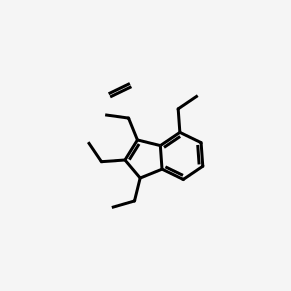 C=C.CCC1=C(CC)C(CC)c2cccc(CC)c21